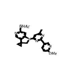 COc1ccc(-c2nc(C)cc(N3CC4(CC4)c4cnc(NC(C)=O)cc43)n2)cn1